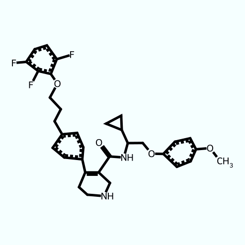 COc1ccc(OCC(NC(=O)C2=C(c3ccc(CCCOc4c(F)ccc(F)c4F)cc3)CCNC2)C2CC2)cc1